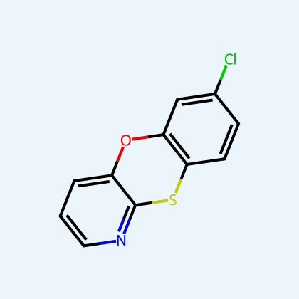 Clc1ccc2c(c1)Oc1cccnc1S2